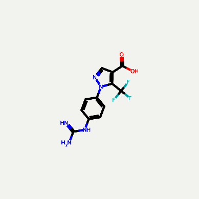 N=C(N)Nc1ccc(-n2ncc(C(=O)O)c2C(F)(F)F)cc1